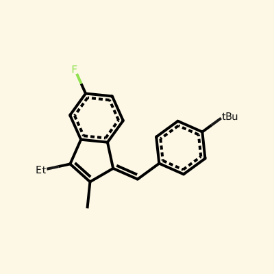 CCC1=C(C)/C(=C/c2ccc(C(C)(C)C)cc2)c2ccc(F)cc21